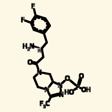 N[C@@H](CC(=O)N1CCN2C(C(F)(F)F)=NN(OP(=O)(O)O)C2C1)Cc1ccc(F)c(F)c1